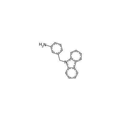 Nc1cccc(Cn2c3ccccc3c3ccccc32)c1